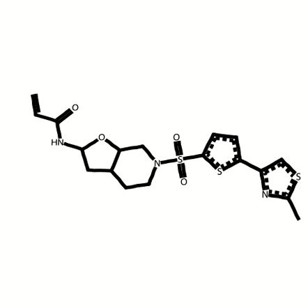 C=CC(=O)NC1CC2CCN(S(=O)(=O)c3ccc(-c4csc(C)n4)s3)CC2O1